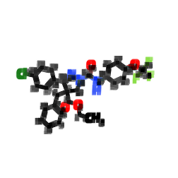 CCOC(=O)C1(Cc2ccccc2)CN(C(=O)Nc2ccc(OC(F)(F)F)cc2)N=C1c1ccc(Cl)cc1